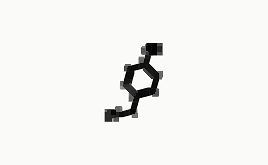 CC(C)Cc1ccc(S)cc1